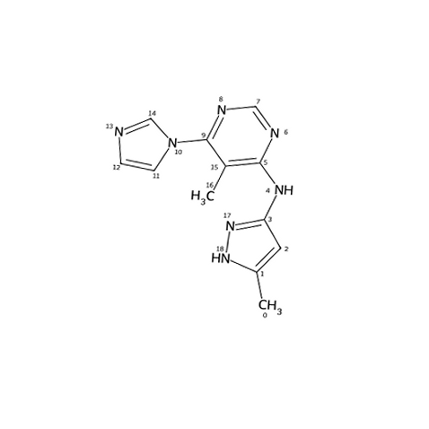 Cc1cc(Nc2ncnc(-n3ccnc3)c2C)n[nH]1